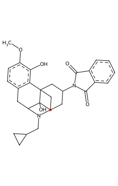 COc1ccc2c(c1O)C13CCN(CC4CC4)C(C2)C1(O)CCC(N1C(=O)c2ccccc2C1=O)C3